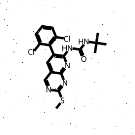 CSc1ncc2cc(-c3c(Cl)cccc3Cl)c(NC(=O)NC(C)(C)C)nc2n1